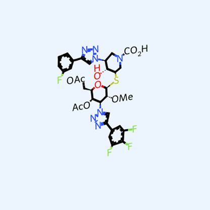 CO[C@@H]1[C@@H](n2cc(-c3cc(F)c(F)c(F)c3)nn2)[C@@H](OC(C)=O)[C@@H](COC(C)=O)O[C@H]1S[C@@H]1CN(C(=O)O)C[C@H](n2cc(-c3cccc(F)c3)nn2)[C@H]1O